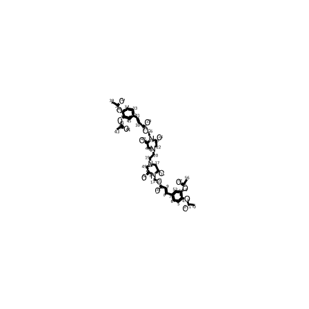 CC(=O)Oc1ccc(C=CC(=O)OCN2C(=O)CN(CCN3CC(=O)N(COC(=O)C=Cc4ccc(OC(C)=O)c(OC(C)=O)c4)C(=O)C3)CC2=O)cc1OC(C)=O